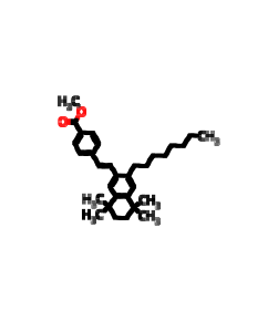 CCCCCCCCc1cc2c(cc1C=Cc1ccc(C(=O)OC)cc1)C(C)(C)CCC2(C)C